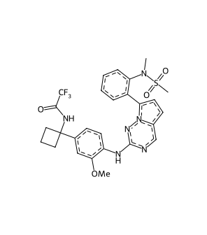 COc1cc(C2(NC(=O)C(F)(F)F)CCC2)ccc1Nc1ncc2ccc(-c3ccccc3N(C)S(C)(=O)=O)n2n1